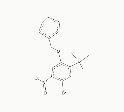 CC(C)(C)c1cc(Br)c([N+](=O)[O-])cc1OCc1ccccc1